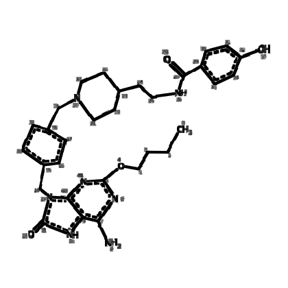 CCCCOc1nc(N)c2[nH]c(=O)n(Cc3ccc(CN4CCC(CCNC(=O)c5ccc(O)cc5)CC4)cc3)c2n1